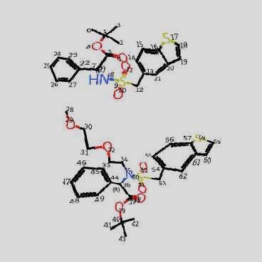 CC(C)(C)OC(=O)[C@H](NS(=O)(=O)Cc1ccc2sccc2c1)c1ccccc1.COCCOCCN([C@@H](C(=O)OC(C)(C)C)c1ccccc1)S(=O)(=O)Cc1ccc2sccc2c1